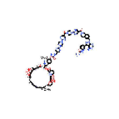 CO[C@H]1C[C@@H]2CC[C@@H](C)C(O)(O2)C(=O)C(=O)N2CCCC[C@H]2C(=O)O[C@H]([C@H](N)C[C@@H]2CC[C@@H](OC(=O)NCc3cnc(N4CCN(c5ncc(C(=O)N6CCN(c7ncc(C(=O)N8CCc9cc(Cn%10nc(-c%11ccc%12oc(N)nc%12c%11)c%11c(N)ncnc%11%10)ccc9C8)cn7)CC6)cn5)CC4)nc3)[C@H](OC)C2)CC(=O)[C@H](C)/C=C(\C)[C@@H](O)[C@@H](O)C(=O)[C@H](C)C[C@H](C)/C=C/C=C/C=C/1C